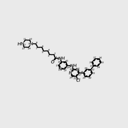 O=C(CCCCCCCN1CCNCC1)Nc1cncc(Nc2ncc(Cl)c(-c3cccc(-c4ccccc4)c3)n2)c1